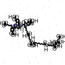 CC1(C)C(/C=C/C2=C(Oc3ccc(S(=O)(=O)O)cc3)C(=C/C=C3/N(CCCCS(=O)(=O)O)c4ccc(S(=O)(=O)O)cc4C3(C)C)/CCC2)=[N+](CCCCCC(=O)NCCCCC(NC(=O)CCCCCCC(=O)NCCCC[C@H](NC(=O)N[C@@H](CCC(=O)O)C(=O)O)C(=O)O)C(=O)O)c2ccc(S(=O)(=O)O)cc21